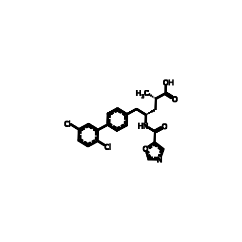 C[C@@H](C[C@@H](Cc1ccc(-c2cc(Cl)ccc2Cl)cc1)NC(=O)c1cnco1)C(=O)O